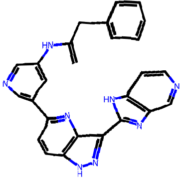 C=C(Cc1ccccc1)Nc1cncc(-c2ccc3[nH]nc(-c4nc5cnccc5[nH]4)c3n2)c1